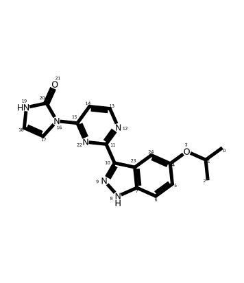 CC(C)Oc1ccc2[nH]nc(-c3nccc(-n4cc[nH]c4=O)n3)c2c1